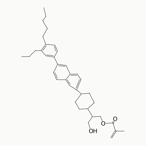 C=C(C)C(=O)OCC(CO)C1CCC(c2ccc3cc(-c4ccc(CCCCC)c(CCC)c4)ccc3c2)CC1